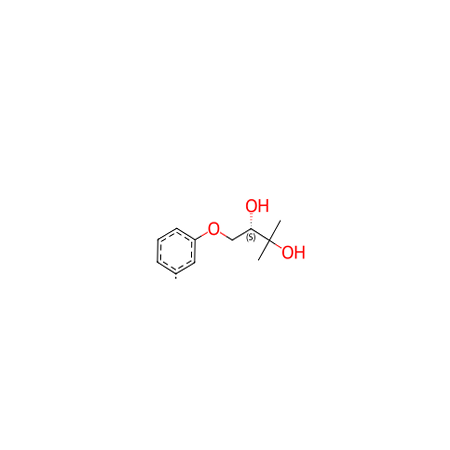 CC(C)(O)[C@@H](O)COc1c[c]ccc1